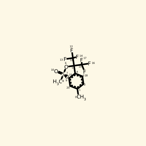 Cc1ccc(C(OS(C)(=O)=O)(C(F)(F)F)C(F)(F)F)cc1